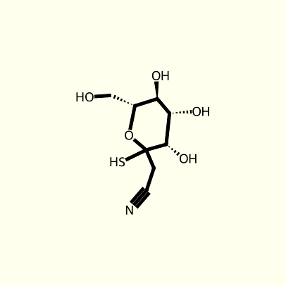 N#CCC1(S)O[C@H](CO)[C@@H](O)[C@H](O)[C@@H]1O